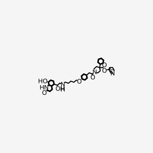 O=C(Cc1ccc(OCCCCCNCC(O)c2ccc(O)c3[nH]c(=O)ccc23)cc1)N1CCC(C(=O)OC2CN3CCC2CC3)(c2ccccc2)CC1